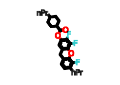 CCCc1ccc2c(c1F)Oc1c(cc(OC(=O)C3CCC(CCC)CC3)c(F)c1F)C2